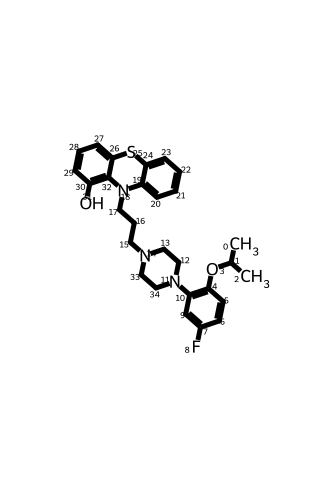 CC(C)Oc1ccc(F)cc1N1CCN(CCCN2c3ccccc3Sc3cccc(O)c32)CC1